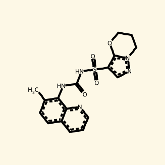 Cc1ccc2cccnc2c1NC(=O)NS(=O)(=O)c1cnn2c1OCCC2